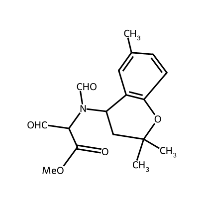 COC(=O)C(C=O)N(C=O)C1CC(C)(C)Oc2ccc(C)cc21